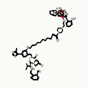 Cc1ncsc1-c1ccc(CNC(=O)[C@@H]2CC(=O)CN2C(=O)[C@@H](NCc2ccccc2C=O)C(C)C)c(OCCCCCCCCCCC(=O)N2CCN(CCOc3cccc(N4C5CCC4CN(c4cc(-c6ccccc6O)nnc4N)C5)c3)CC2)c1